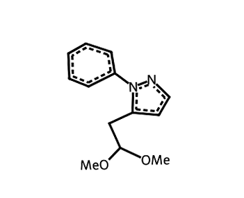 COC(Cc1ccnn1-c1ccccc1)OC